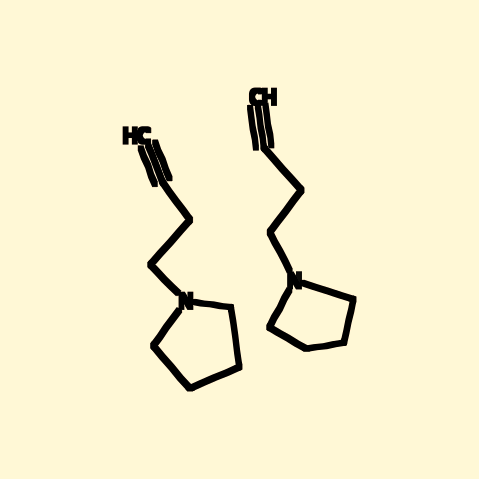 C#CCCN1CCCC1.C#CCCN1CCCC1